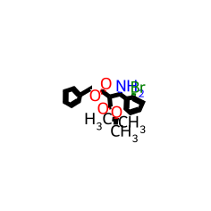 CC(C)(C)OC(=O)C(C(=O)OCc1ccccc1)C(N)c1ccccc1Br